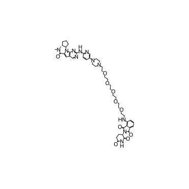 CN(C)C(=O)c1cc2cnc(Nc3ccc(N4CCN(CCOCCOCCOCCOCCOCCNc5cccc6c5C(=O)N(C5CCC(=O)NC5=O)C6=O)CC4)cn3)nc2n1C1CCCC1